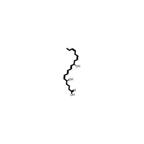 CC/C=C\C/C=C\C[C@@H](O)/C=C/C=C/C=C\[C@@H](O)CCCC(=O)O